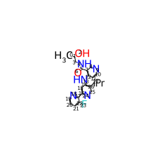 CC(O)CNC(=O)c1cnccc1Nc1cc(-c2ncccc2F)ncc1C(C)C